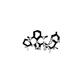 COc1cccc(OC)c1-n1c(NS(=O)(=O)[C@@H](C)[C@H](C)c2ncc(C)cn2)nnc1[C@H]1OCC[C@H]1C